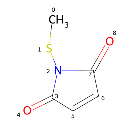 CSN1C(=O)C=CC1=O